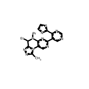 CCC1c2nnc(C)n2-c2cnc(-c3cncnc3-c3nccs3)nc2N1C(C)C